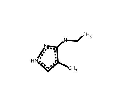 CC[N]c1n[nH]cc1C